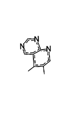 Cc1cnc2ncncc2c1C